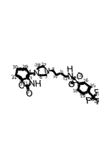 O=c1[nH]c2c(N3CCN(CCCCNS(=O)(=O)c4ccc(C(F)(F)F)cc4)CC3)cccc2o1